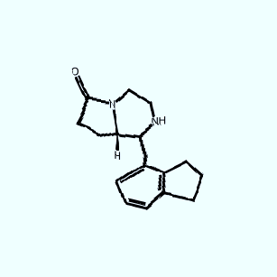 O=C1CC[C@H]2C(c3cccc4c3CCC4)NCCN12